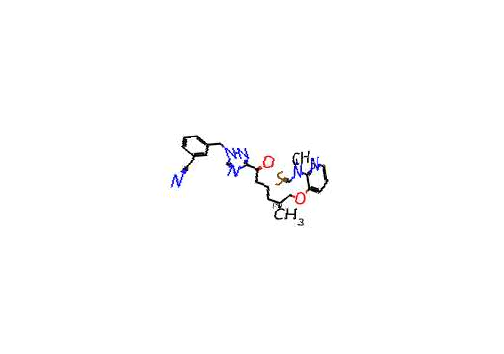 C[C@@H](CCCC(=O)c1ncn(Cc2cccc(C#N)c2)n1)COc1cccnc1N(C)C=S